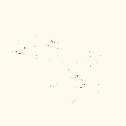 CC(C)(C)c1ccc(N2c3ccccc3B3c4cc(-c5cccc(N(c6ccccc6)c6cc7c8c(c6)N(c6ccccc6-c6ccccc6)c6cc(C(C)(C)C)ccc6B8c6ccc(C(C)(C)C)cc6N7c6ccccc6-c6ccccc6)c5)ccc4N(c4ccc(C(C)(C)C)cc4-c4ccccc4)c4cc(-n5c6ccc(C(C)(C)C)cc6c6cc(C(C)(C)C)ccc65)cc2c43)c(-c2ccccc2)c1